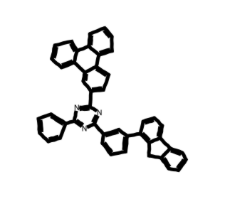 c1ccc(-c2nc(-c3cccc(-c4cccc5c4Cc4ccccc4-5)c3)nc(-c3ccc4c5ccccc5c5ccccc5c4c3)n2)cc1